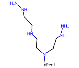 CCCCCN(CCNN)CCNCCNN